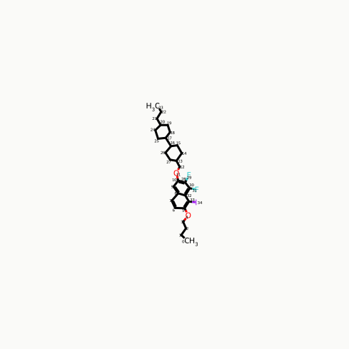 CCCCOc1ccc2cc(OCC3CCC(C4CCC(CCC)CC4)CC3)c(F)c(F)c2c1I